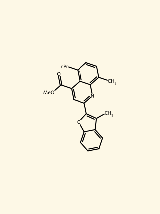 CCCc1ccc(C)c2nc(-c3oc4ccccc4c3C)cc(C(=O)OC)c12